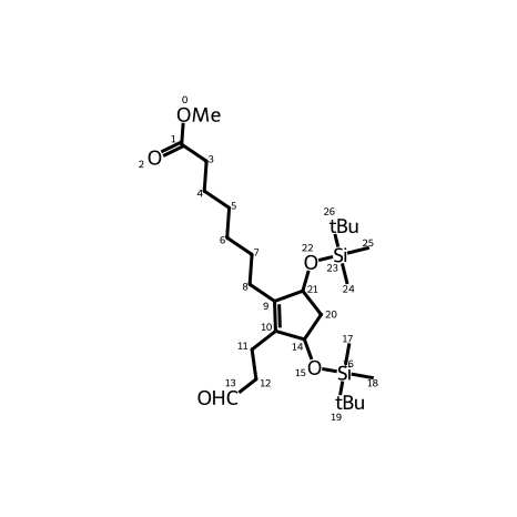 COC(=O)CCCCCCC1=C(CCC=O)C(O[Si](C)(C)C(C)(C)C)CC1O[Si](C)(C)C(C)(C)C